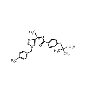 C[C@@H](OC(=O)c1ccc(SC(C)(C)C(=O)O)cc1)c1cn(Cc2ccc(C(F)(F)F)cc2)nn1